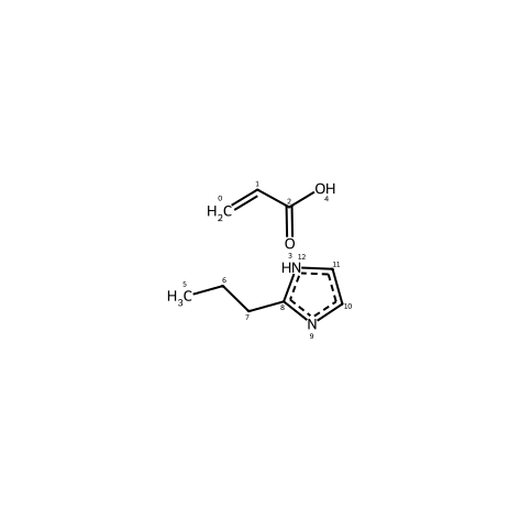 C=CC(=O)O.CCCc1ncc[nH]1